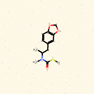 CCSC(=O)N(C)C(C)Cc1ccc2c(c1)OCO2